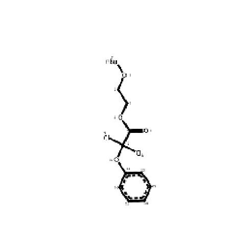 CCCCOCCOC(=O)C(Cl)(Cl)Oc1ccccc1